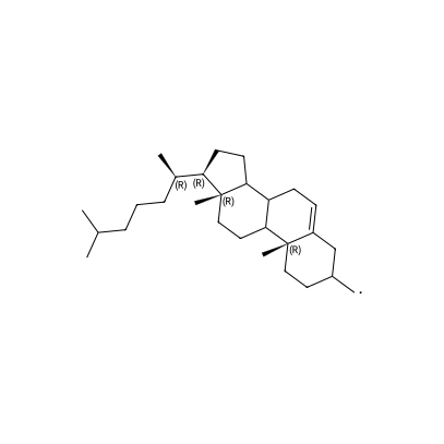 [CH2]C1CC[C@@]2(C)C(=CCC3C2CC[C@@]2(C)C3CC[C@@H]2[C@H](C)CCCC(C)C)C1